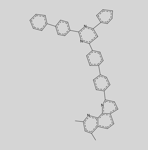 Cc1cc(C)c2ccc3ccc(-c4ccc(-c5ccc(-c6cc(-c7ccccc7)nc(-c7ccc(-c8ccccc8)cc7)n6)cc5)cc4)nc3c2n1